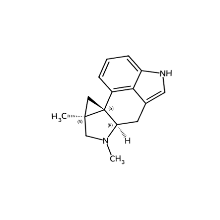 CN1C[C@@]2(C)C[C@]23c2cccc4[nH]cc(c24)C[C@@H]13